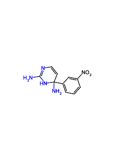 NC1=NC=CC(N)(c2cccc([N+](=O)[O-])c2)N1